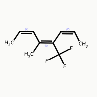 C\C=C/C(C)=C(\C=C/C)C(F)(F)F